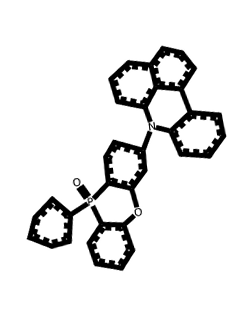 O=P1(c2ccccc2)c2ccccc2Oc2cc(N3c4ccccc4-c4cccc5cccc3c45)ccc21